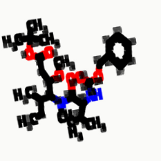 CCC(C)C(C(CC(=O)OC(C)(C)C)OC)N(C)C(=O)C(NC(=O)OCc1ccccc1)C(C)C